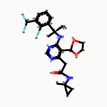 B[C@](C)(Nc1ncnc(CC(=O)NC2(C)CC2)c1C1OCCO1)c1cccc(C(F)F)c1F